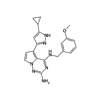 COc1cccc(CNc2nc(N)nn3ccc(-c4cc(C5CC5)[nH]n4)c23)c1